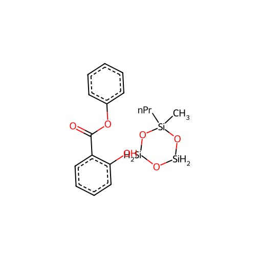 CCC[Si]1(C)O[SiH2]O[SiH2]O1.O=C(Oc1ccccc1)c1ccccc1O